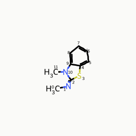 CN=c1sc2c[c]ccc2n1C